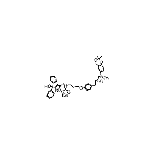 CC(C)(C)OC(=O)N(CCCOc1ccc(CCNC[C@H](O)c2ccc3c(c2)COC(C)(C)O3)cc1)Cc1cc(C(O)(c2ccccc2)c2ccccc2)no1